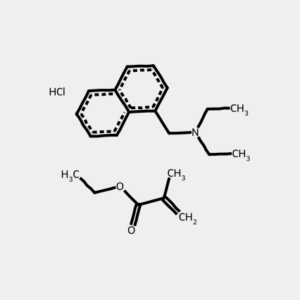 C=C(C)C(=O)OCC.CCN(CC)Cc1cccc2ccccc12.Cl